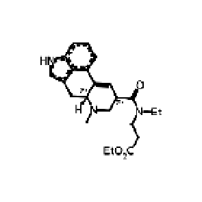 CCOC(=O)CCN(CC)C(=O)[C@@H]1C=C2c3cccc4[nH]cc(c34)C[C@H]2N(C)C1